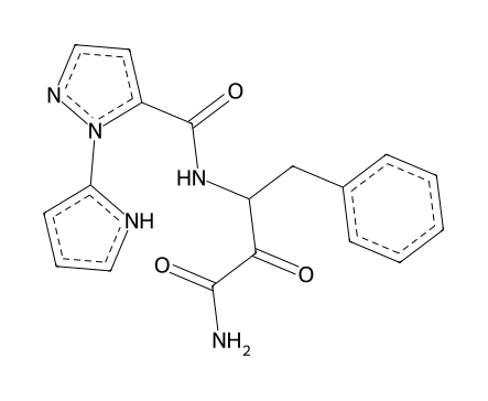 NC(=O)C(=O)C(Cc1ccccc1)NC(=O)c1ccnn1-c1ccc[nH]1